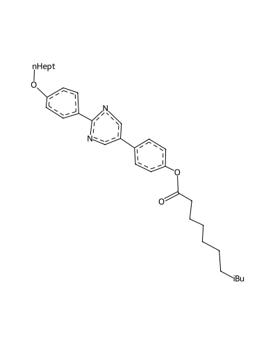 CCCCCCCOc1ccc(-c2ncc(-c3ccc(OC(=O)CCCCCCC(C)CC)cc3)cn2)cc1